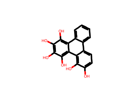 Oc1ccc2c3ccccc3c3c(O)c(O)c(O)c(O)c3c2c1O